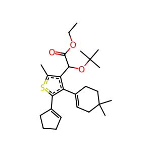 CCOC(=O)C(OC(C)(C)C)c1c(C)sc(C2=CCCC2)c1C1=CCC(C)(C)CC1